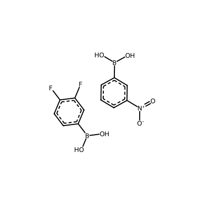 O=[N+]([O-])c1cccc(B(O)O)c1.OB(O)c1ccc(F)c(F)c1